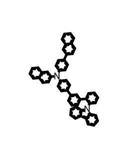 c1cc(-c2ccc(N(c3ccc(-c4ccc5ccccc5c4)cc3)c3ccc4ccccc4c3)cc2)cc(-c2ccccc2-n2c3ccccc3c3ccccc32)c1